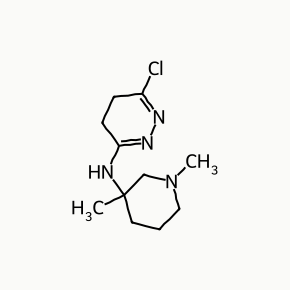 CN1CCCC(C)(NC2=NN=C(Cl)CC2)C1